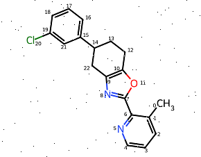 Cc1cccnc1-c1nc2c(o1)CCC(c1cccc(Cl)c1)C2